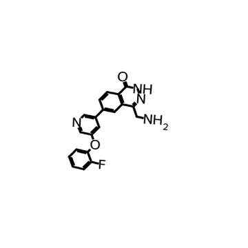 NCc1n[nH]c(=O)c2ccc(-c3cncc(Oc4ccccc4F)c3)cc12